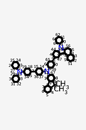 CC1(C)c2ccccc2-c2cc(N(c3ccc(-c4ccc(N(c5ccccc5)c5ccccc5)cc4)cc3)c3ccc(-c4ccc5c(c4)c4c6ccccc6ccc4n5-c4ccccc4)cc3)ccc21